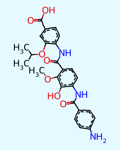 COc1c(C(=O)Nc2ccc(C(=O)O)cc2OC(C)C)ccc(NC(=O)c2ccc(N)cc2)c1O